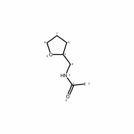 O=C(I)NCC1CCCO1